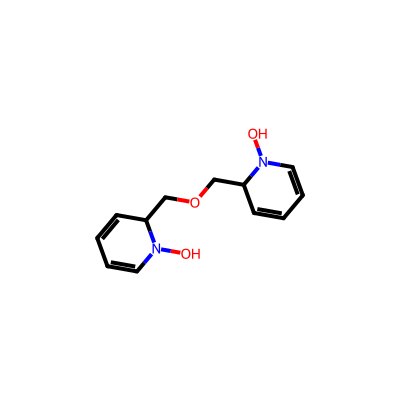 ON1C=CC=CC1COCC1C=CC=CN1O